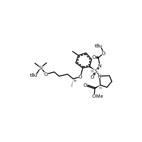 COC(=O)[C@@H]1CCCN1[S@](=O)(=NC(=O)OC(C)(C)C)c1ccc(C)cc1O[C@H](C)CCCO[Si](C)(C)C(C)(C)C